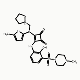 Cc1ccc(N(C[C@H]2CCCS2)c2c(Nc3cccc(S(=O)(=O)N4CCN(C)CC4)c3O)c(=O)c2=O)o1